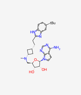 CN(C[C@H]1O[C@@H](n2ccc3c(N)ncnc32)[C@H](O)[C@@H]1O)[C@H]1C[C@@H](CCc2nc3cc(C(C)(C)C)ccc3[nH]2)C1